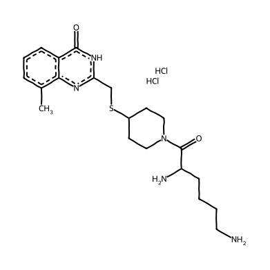 Cc1cccc2c(=O)[nH]c(CSC3CCN(C(=O)C(N)CCCCN)CC3)nc12.Cl.Cl